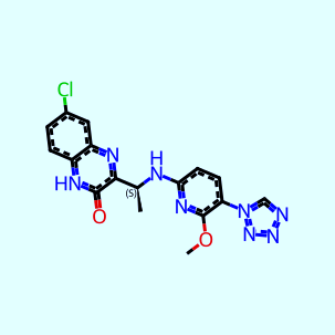 COc1nc(N[C@@H](C)c2nc3cc(Cl)ccc3[nH]c2=O)ccc1-n1cnnn1